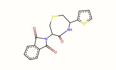 O=C1NC(c2cccs2)CSCC1N1C(=O)c2ccccc2C1=O